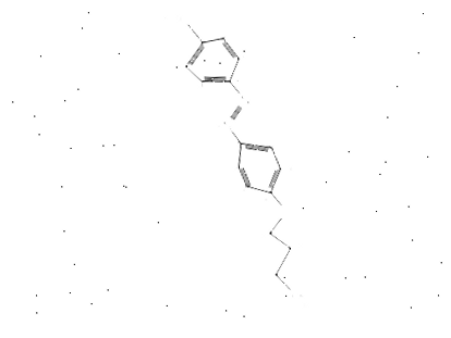 CCCCc1ccc(N=Nc2ccc(OCCCO)cc2)cc1